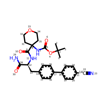 CC(C)(C)OC(=O)NC1(C(=O)N[C@@H](Cc2ccc(-c3ccc([14C]#N)cc3)cc2)C(N)=O)CCOCC1